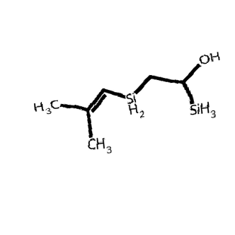 CC(C)=C[SiH2]CC(O)[SiH3]